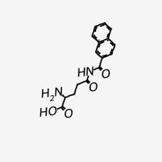 N[C@@H](CCC(=O)NC(=O)c1ccc2ccccc2c1)C(=O)O